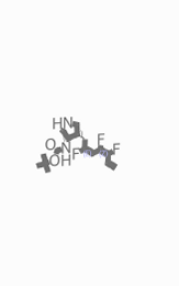 C=C/C(F)=C(F)\C=C(\F)C[C@H]1CNC[C@@H]1NC(=O)OC(C)(C)C